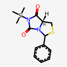 C[Si](C)(C)N1C(=O)[C@@H]2CSC(c3ccccc3)N2C1=O